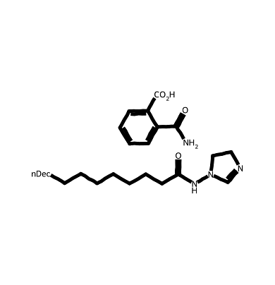 CCCCCCCCCCCCCCCCCC(=O)NN1C=NCC1.NC(=O)c1ccccc1C(=O)O